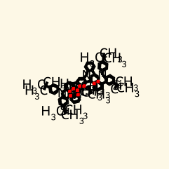 CC(C)(C)c1ccc(N(c2ccc([Si](C)(C)C)cc2-c2ccc([Si](C)(C)C)cc2)c2ccc3c4cc5c(cc4n4c6ccccc6c2c34)c2ccc(N(c3ccc(C(C)(C)C)cc3)c3ccc([Si](C)(C)C)cc3-c3ccc([Si](C)(C)C)cc3)c3c4ccccc4n5c23)cc1